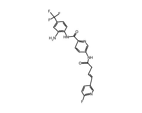 Nc1cc(C(F)(F)F)ccc1NC(=O)c1ccc(NC(=O)C/C=C/c2ccc(F)nc2)cn1